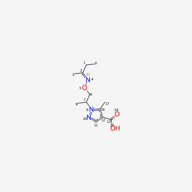 CC/C(C)=N/OCC(C)n1ncc(C(=O)O)c1C